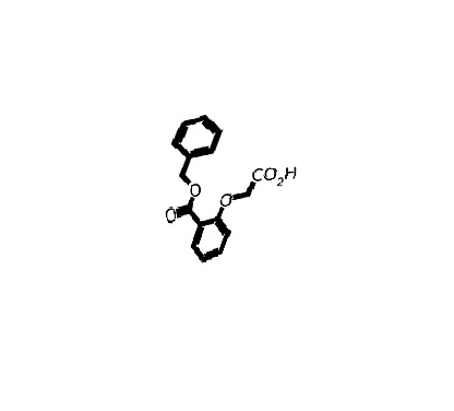 O=C(O)COc1ccccc1C(=O)OCc1ccccc1